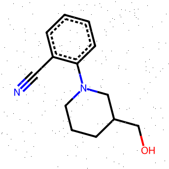 N#Cc1ccccc1N1CCCC(CO)C1